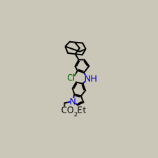 CCOC(=O)Cn1ccc2cc(Nc3ccc(C45CC6CC(CC(C6)C4)C5)cc3Cl)ccc21